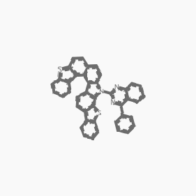 c1ccc(-c2nc(-n3c4ccc5ccc6sc7ccccc7c6c5c4c4ccc5c6ccccc6sc5c43)nc3ccccc23)cc1